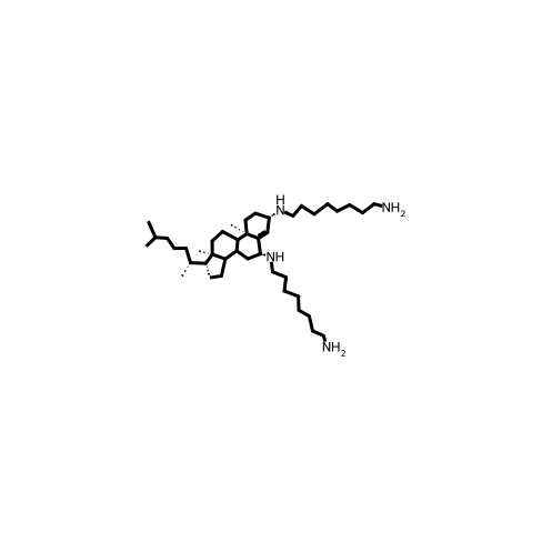 CC(C)CCC[C@@H](C)[C@H]1CCC2C3C[C@@H](NCCCCCCCCN)C4=C[C@@H](NCCCCCCCCN)CC[C@]4(C)C3CC[C@@]21C